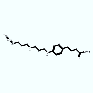 COC(=O)CCCc1ccc(OCCCOCCCN=[N+]=[N-])cc1